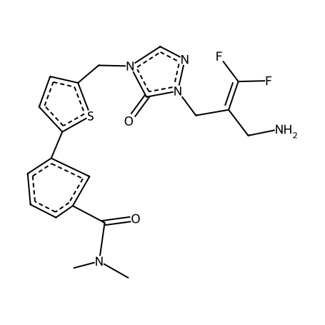 CN(C)C(=O)c1cccc(-c2ccc(Cn3cnn(CC(CN)=C(F)F)c3=O)s2)c1